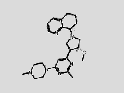 CO[C@H]1CN([C@@H]2CCCc3cccnc32)CC1c1cc(N2CCN(C)CC2)nc(C)n1